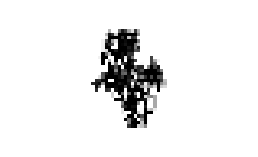 Cn1nc(NS(C)(=O)=O)c2c(Cl)ccc(-n3c([C@H](Cc4cc(F)cc(F)c4)NC(=O)Cn4nc(C(F)F)c5c4C(F)(F)[C@@H]4C[C@H]54)nc4c(F)cc(F)cc4c3=O)c21